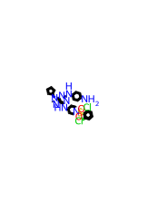 NC1CCC(Nc2nc(NC3CCN(S(=O)(=O)c4c(Cl)cccc4Cl)CC3)c3ncn(C4CCCC4)c3n2)CC1